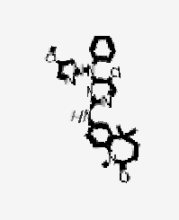 COc1cnn(N(c2ccccc2)c2nc(Nc3ccc4c(c3)C(C)(C)CCC(=O)N4C)ncc2Cl)c1